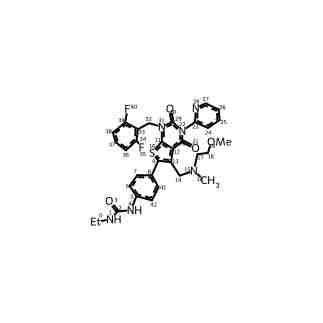 CCNC(=O)Nc1ccc(-c2sc3c(c2CN(C)CCOC)c(=O)n(-c2ccccn2)c(=O)n3Cc2c(F)cccc2F)cc1